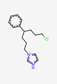 ClCCCC(CCC[n+]1cc[nH]c1)c1ccccc1